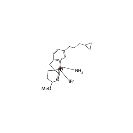 COC1CCC2(CC1)Cc1ccc(CCCC3CC3)cc1C21N=C(N)N(C(C)C)C1=O